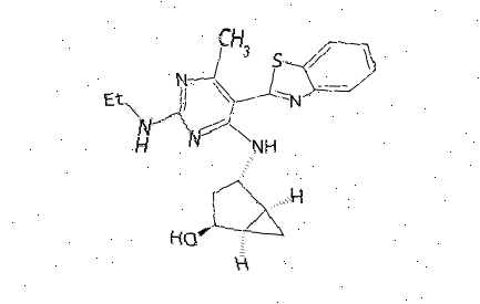 CCNc1nc(C)c(-c2nc3ccccc3s2)c(N[C@H]2C[C@H](O)[C@@H]3C[C@@H]32)n1